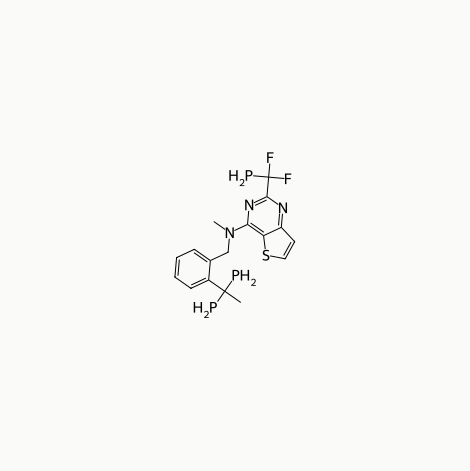 CN(Cc1ccccc1C(C)(P)P)c1nc(C(F)(F)P)nc2ccsc12